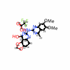 COc1cc2nc(Nc3nc(O)c4c5c(ccc4n3)OCO5)nc(C)c2cc1OC.O=C(O)C(F)(F)F